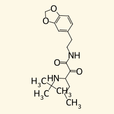 CCCC(NC(C)(C)C)C(=O)C(=O)NCCc1ccc2c(c1)OCO2